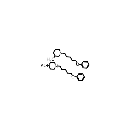 CC(=O)N1CCN(CCCCCOc2ccccc2)CC1.CC1CCCN(CCCCCOc2ccccc2)C1